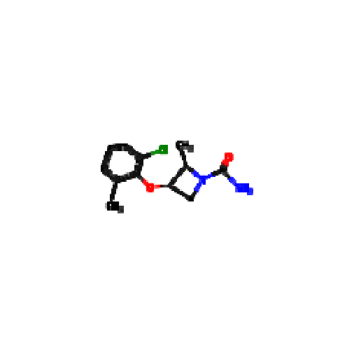 Cc1cccc(Cl)c1OC1CN(C(N)=O)C1C